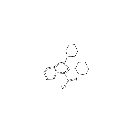 N=C(N)c1c(C2CCCCC2)c(C2CCCCC2)cc2ccccc12